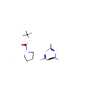 Cc1cc(O[C@@H]2C[C@H](C)N(C(=O)OC(C)(C)C)C2)nc(C)n1